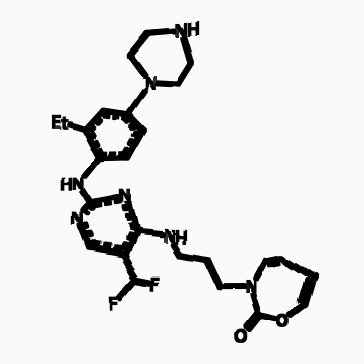 CCc1cc(N2CCNCC2)ccc1Nc1ncc(C(F)F)c(NCCCN2C=CC=COC2=O)n1